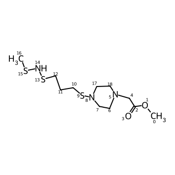 COC(=O)CN1CCN(SCCCSNSC)CC1